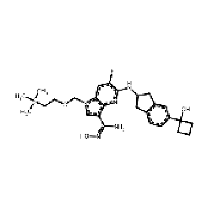 C[Si](C)(C)CCOCn1cc(/C(N)=N\O)c2nc(NC3Cc4ccc(C5(O)CCC5)cc4C3)c(F)cc21